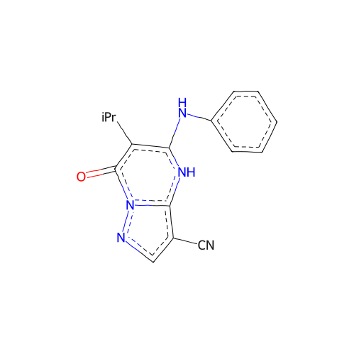 CC(C)c1c(Nc2ccccc2)[nH]c2c(C#N)cnn2c1=O